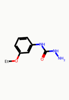 CCOc1cccc(NC(=O)NN)c1